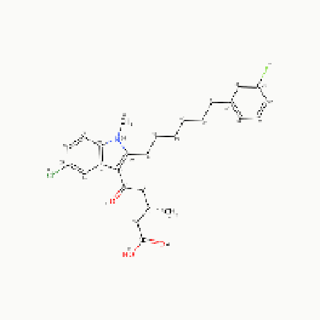 C[C@H](CC(=O)O)CC(=O)c1c(CCCCCCc2cccc(F)c2)n(C)c2ccc(Cl)cc12